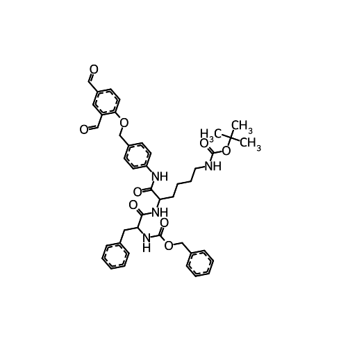 CC(C)(C)OC(=O)NCCCCC(NC(=O)C(Cc1ccccc1)NC(=O)OCc1ccccc1)C(=O)Nc1ccc(COc2ccc(C=O)cc2C=O)cc1